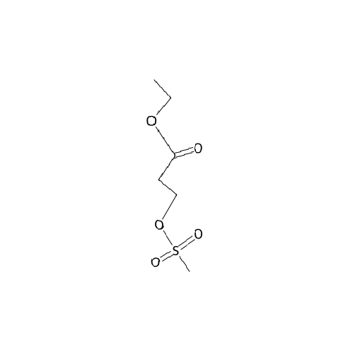 CCOC(=O)CCOS(C)(=O)=O